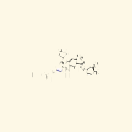 CC(C)OC/C=C/C(=O)Nc1cc2c(Nc3ccc(F)c(Cl)c3)ncnc2cc1OC1CCOC1